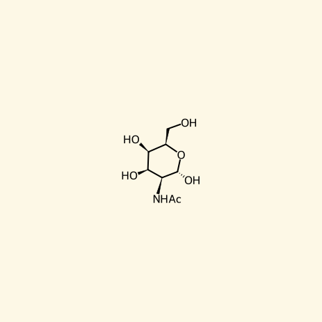 CC(=O)N[C@H]1[C@@H](O)[C@@H](O)[C@@H](CO)O[C@@H]1O